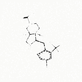 O=C(O)N1CC[C@@H]2C(Cc3ccc(F)cc3C(F)(F)F)NC[C@H]2C1